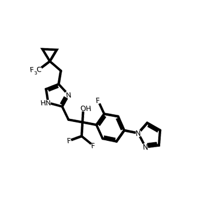 OC(Cc1nc(CC2(C(F)(F)F)CC2)c[nH]1)(c1ccc(-n2cccn2)cc1F)C(F)F